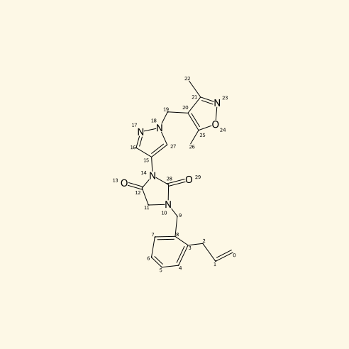 C=CCc1ccccc1CN1CC(=O)N(c2cnn(Cc3c(C)noc3C)c2)C1=O